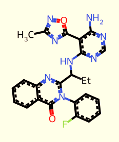 CCC(Nc1ncnc(N)c1-c1nc(C)no1)c1nc2ccccc2c(=O)n1-c1ccccc1F